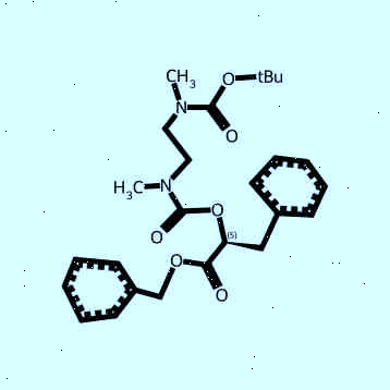 CN(CCN(C)C(=O)OC(C)(C)C)C(=O)O[C@@H](Cc1ccccc1)C(=O)OCc1ccccc1